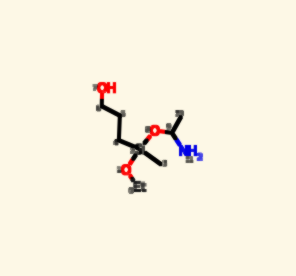 CCO[Si](C)(CCCO)OC(C)N